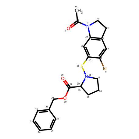 CC(=O)N1CCc2cc(Br)c(SN3CCC[C@H]3C(=O)OCc3ccccc3)cc21